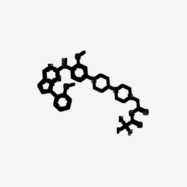 COc1cc(N2CCC(N3CCN(CC(=O)OC(=O)C(F)(F)F)CC3)CC2)ccc1Nc1ncc2ccc(-c3ccccc3OC)n2n1